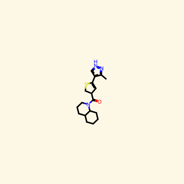 Cc1n[nH]cc1C1=CC(C(=O)N2CCCC3CCCCC32)CS1